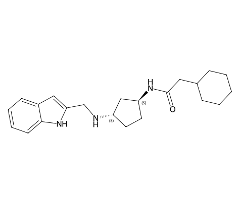 O=C(CC1CCCCC1)N[C@H]1CC[C@H](NCc2cc3ccccc3[nH]2)C1